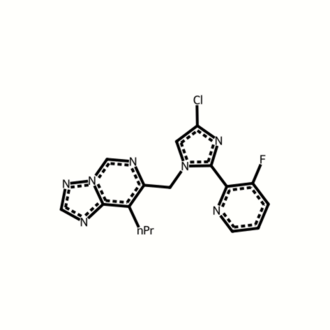 CCCc1c(Cn2cc(Cl)nc2-c2ncccc2F)ncn2ncnc12